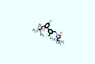 CC(C)(C)C1CC(=O)N(Cc2cc(-c3cc(Cl)cc4c3OC(C(C)(C)C)C4)cc(C(F)(F)F)c2)C1